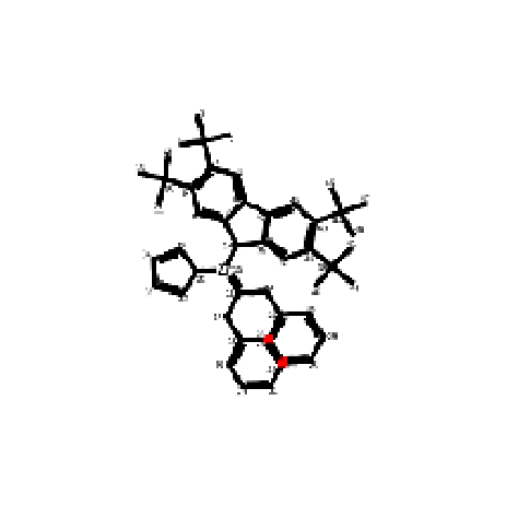 CC(C)(C)c1cc2c(cc1C(C)(C)C)[CH]([Zr](=[C](Cc1ccccc1)Cc1ccccc1)[CH]1C=CC=C1)c1cc(C(C)(C)C)c(C(C)(C)C)cc1-2